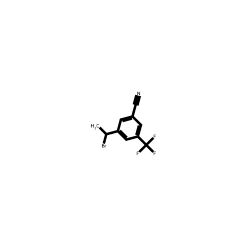 CC(Br)c1cc(C#N)cc(C(F)(F)F)c1